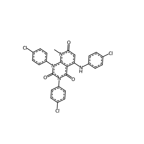 Cn1c(=O)cc(Nc2ccc(Cl)cc2)c2c(=O)n(-c3ccc(Cl)cc3)c(=O)n(-c3ccc(Cl)cc3)c21